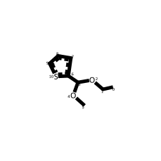 CCOC(OC)c1cccs1